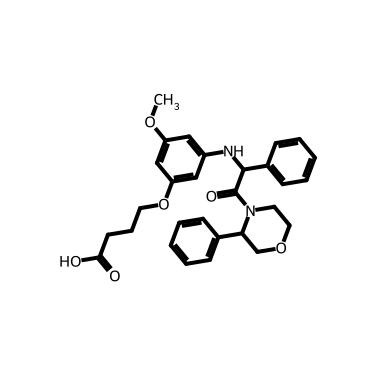 COc1cc(NC(C(=O)N2CCOCC2c2ccccc2)c2ccccc2)cc(OCCCC(=O)O)c1